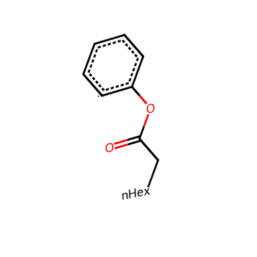 CCCCCCCC(=O)Oc1[c]cccc1